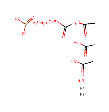 CC(=O)O.CC(=O)O.CC(=O)O.CC(=O)O.O.O.O.O.O=S([O-])[O-].[Na+].[Na+]